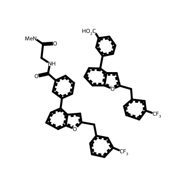 CNC(=O)CNC(=O)c1cccc(-c2cccc3oc(Cc4cccc(C(F)(F)F)c4)cc23)c1.O=C(O)c1cccc(-c2cccc3oc(Cc4cccc(C(F)(F)F)c4)cc23)c1